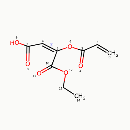 C=CC(=O)O/C(=C/C(=O)O)C(=O)OCC